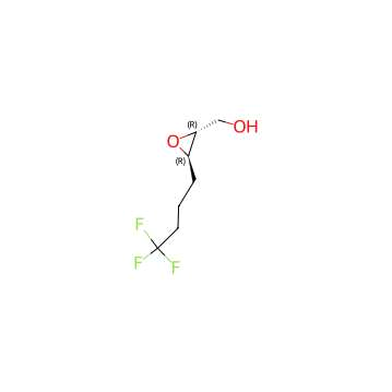 OC[C@H]1O[C@@H]1CCCC(F)(F)F